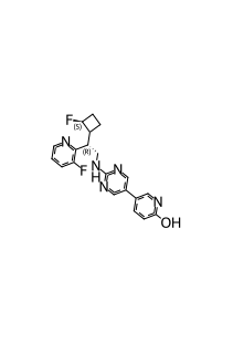 Oc1ccc(-c2cnc(NC[C@H](c3ncccc3F)C3CC[C@@H]3F)nc2)cn1